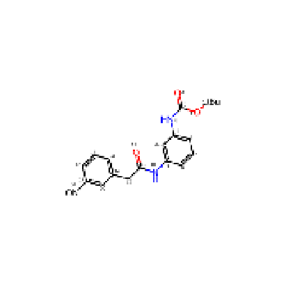 CC(C)(C)OC(=O)Nc1cccc(NC(=O)Cc2cccc(N=O)c2)c1